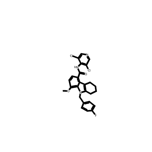 COc1ccc(C(=O)Nc2c(Cl)cncc2Cl)c2c3c(n(Cc4ccc(F)cc4)c12)CCCC3